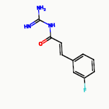 N=C(N)NC(=O)C=Cc1cccc(F)c1